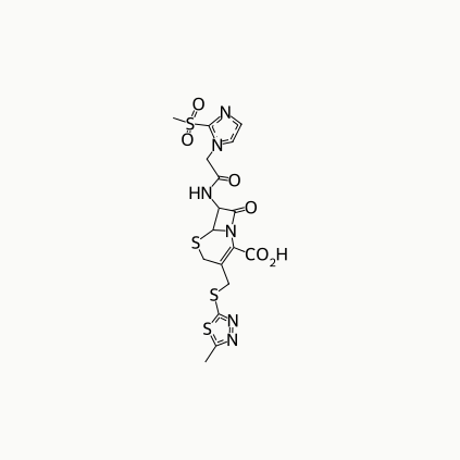 Cc1nnc(SCC2=C(C(=O)O)N3C(=O)C(NC(=O)Cn4ccnc4S(C)(=O)=O)C3SC2)s1